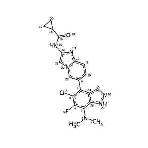 CN(C)c1c(F)c(Cl)c(-c2ccc3nc(NC(=O)C4CC4)cn3c2)c2cn[nH]c12